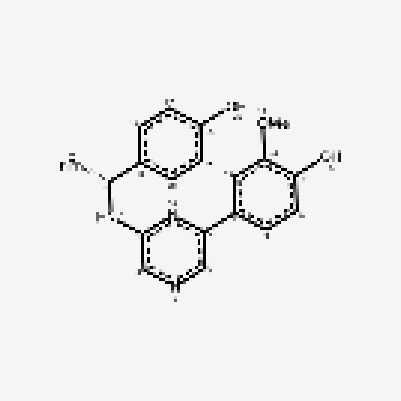 CCC[C@@H](Nc1cncc(-c2ccc(O)c(OC)c2)n1)c1ccc(O)cc1